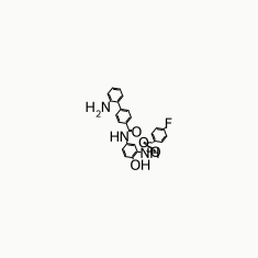 Nc1ccccc1-c1ccc(C(=O)Nc2ccc(O)c(NS(=O)(=O)c3ccc(F)cc3)c2)cc1